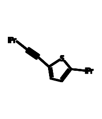 CC(C)C#Cc1ccc(C(C)C)s1